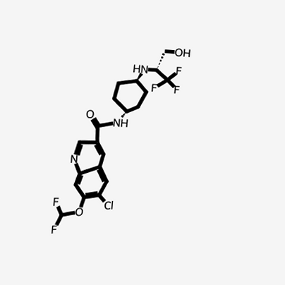 O=C(N[C@H]1CC[C@H](N[C@H](CO)C(F)(F)F)CC1)c1cnc2cc(OC(F)F)c(Cl)cc2c1